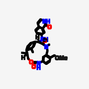 COCc1ccc2cc1CN(C)C(=O)[C@H](Nc1ccc3cc[nH]c(=O)c3c1)c1ccc(c(C)c1)[C@@H](C)COC(=O)N2